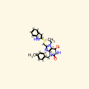 CCn1c(CSc2cc3ccccc3[nH]2)nc2c1c(=O)[nH]c(=O)n2Cc1ccc(C)cc1